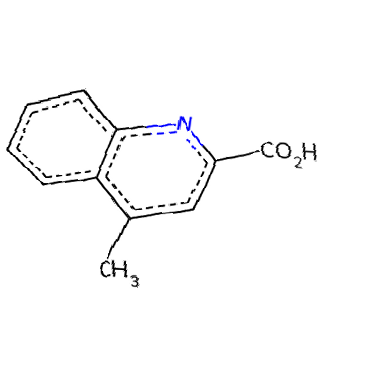 Cc1cc(C(=O)O)nc2ccccc12